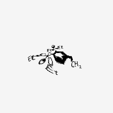 C=Cc1ccc(OP(=O)(OCC)OCC)c(P(=O)(CC)CC)c1